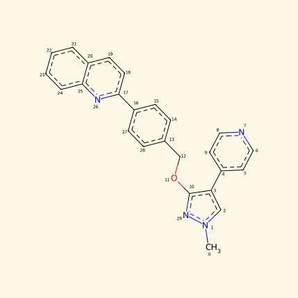 Cn1cc(-c2ccncc2)c(OCc2ccc(-c3ccc4ccccc4n3)cc2)n1